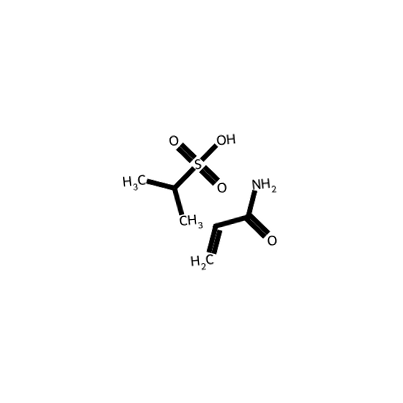 C=CC(N)=O.CC(C)S(=O)(=O)O